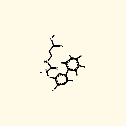 COC(=O)CCNC(=O)[C@@H](C)Sc1cc(-c2c(F)c(F)c(F)c(F)c2F)c(F)cc1Cl